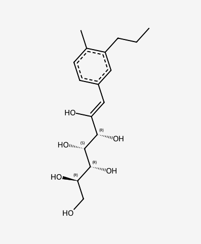 CCCc1cc(C=C(O)[C@H](O)[C@@H](O)[C@H](O)[C@H](O)CO)ccc1C